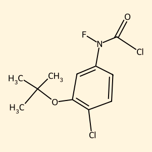 CC(C)(C)Oc1cc(N(F)C(=O)Cl)ccc1Cl